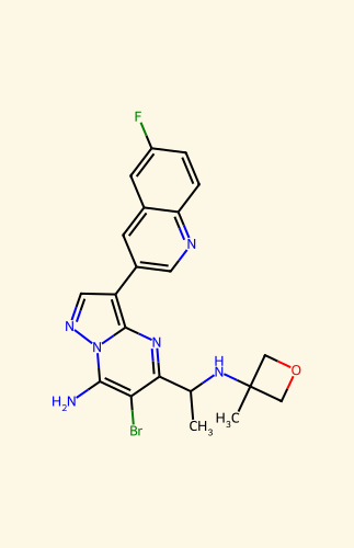 CC(NC1(C)COC1)c1nc2c(-c3cnc4ccc(F)cc4c3)cnn2c(N)c1Br